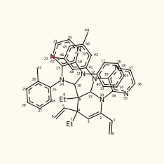 C=CC1=CC(C=C)(CC)C(CC)(C2N(c3ccccc3)c3nccnc3N2c2ccccc2C)C2N1c1nccnc1N2c1cc(C)cc(C)c1